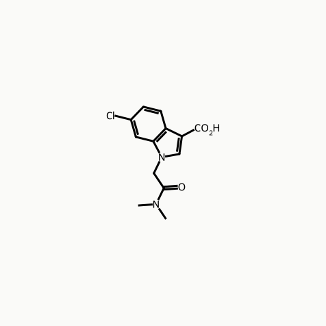 CN(C)C(=O)Cn1cc(C(=O)O)c2ccc(Cl)cc21